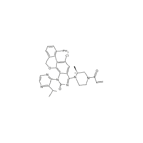 C=CC(=O)N1CCN(c2nc(=O)n(-c3nccnc3C(C)C)c3c4c(c(Cl)cc23)-c2c(P)cccc2CO4)[C@@H](C)C1